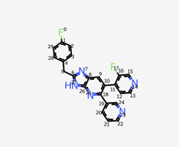 Fc1ccc(Cc2nc3cc(-c4ccncc4F)c(-c4cccnc4)nc3[nH]2)cc1